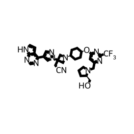 N#CCC1(n2cc(-c3ncnc4[nH]ccc34)cn2)CN([C@H]2CC[C@@H](Oc3cc(CN4CCC[C@@H]4CO)nc(C(F)(F)F)n3)CC2)C1